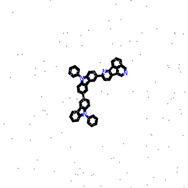 c1ccc(-n2c3ccccc3c3cc(-c4ccc5c(c4)c4cc(-c6ccc7c(n6)-c6cccc8cncc-7c68)ccc4n5-c4ccccc4)ccc32)cc1